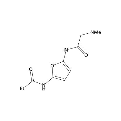 CCC(=O)Nc1ccc(NC(=O)CNC)o1